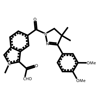 COc1ccc(C2=NN(C(=O)c3ccc4cn(C)c(C(=O)C=O)c4c3)CC2(C)C)cc1OC